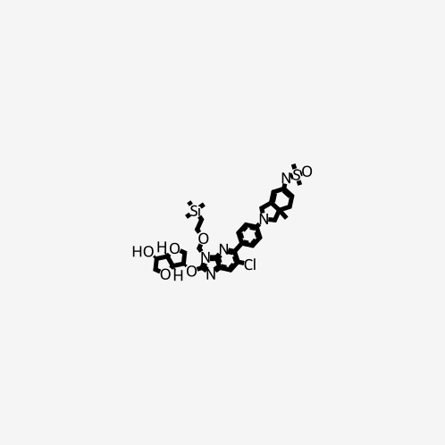 CC12CC=C(N=S(C)(C)=O)C=C1CN(c1ccc(-c3nc4c(cc3Cl)nc(O[C@@H]3CO[C@H]5[C@@H]3OC[C@H]5O)n4COCC[Si](C)(C)C)cc1)C2